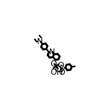 CCN(CC)c1ccc(-c2ccc3c(OC(C)(CO)OS(=O)(=O)c4ccc(C)cc4)cccc3n2)cc1